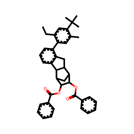 CCc1cc(C(C)(C)C)c(C)cc1-c1cccc2c1CC1C3CC(C(OC(=O)c4ccccc4)C3OC(=O)c3ccccc3)C21